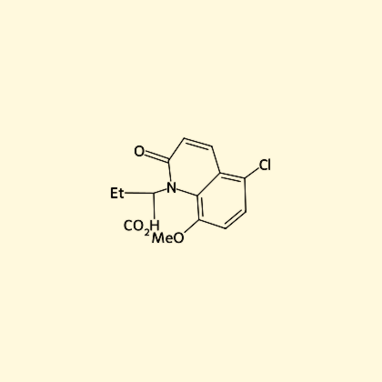 CCC(C(=O)O)n1c(=O)ccc2c(Cl)ccc(OC)c21